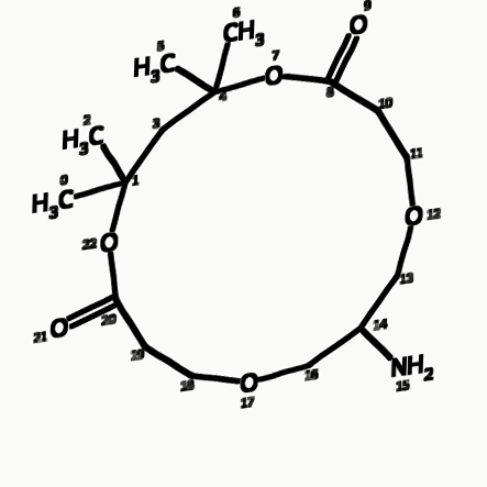 CC1(C)CC(C)(C)OC(=O)CCOCC(N)COCCC(=O)O1